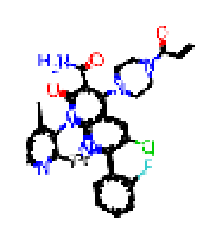 C=CC(=O)N1CCN(c2c(C(N)=O)c(=O)n(-c3c(C)ccnc3C(C)C)c3nc(-c4ccccc4F)c(Cl)cc23)CC1